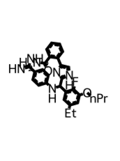 CCCOc1cc(CC)cc(C(Nc2ccc(C(=N)N)cc2)c2nc(-c3ccccc3C(N)=O)c[nH]2)c1F